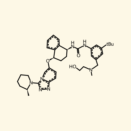 C[C@H]1CCCCN1c1nnc2ccc(O[C@@H]3CC[C@H](NC(=O)Nc4cc(CN(C)CCO)cc(C(C)(C)C)c4)c4ccccc43)cn12